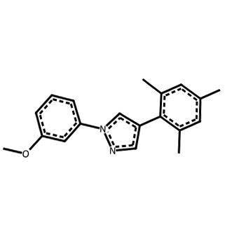 COc1cccc(-n2cc(-c3c(C)cc(C)cc3C)cn2)c1